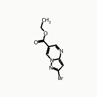 CCOC(=O)c1cnc2cc(Br)nn2c1